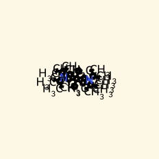 CC(C)c1cc(C(C)C)cc(N(c2cc(C(C)C)cc(C(C)C)c2)c2ccc3c4c(-c5ccccc5)c5c6cccc7c(N(c8cc(C(C)C)cc(C(C)C)c8)c8cc(C(C)C)cc(C(C)C)c8)ccc(c5c(-c5ccccc5)c4c4cccc2c43)c76)c1